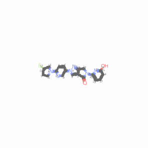 O=C1c2cn(-c3ccc(N4CC[C@@H](F)C4)nc3)nc2CN1c1cccc(O)n1